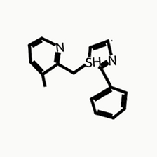 Cc1cccnc1C[SH]1C=[C]N=C1c1ccccc1